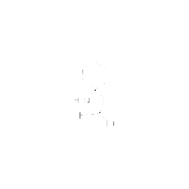 CCC(CC)CC1(N)CCCCC1